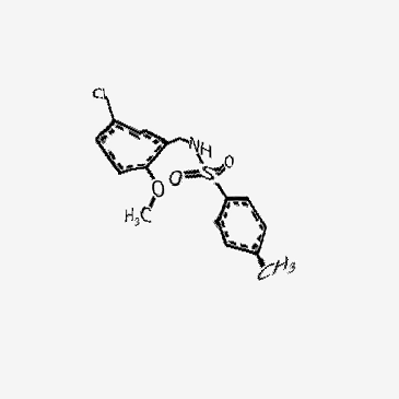 COc1ccc(Cl)cc1NS(=O)(=O)c1ccc(C)cc1